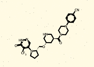 N#Cc1ccc(N2CCN(C(=O)[C@@H]3CNC[C@@H](OC[C@@H]4CCCN4c4cn[nH]c(=O)c4C(F)(F)F)C3)CC2)cc1